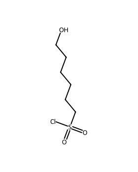 O=S(=O)(Cl)CCCCCCO